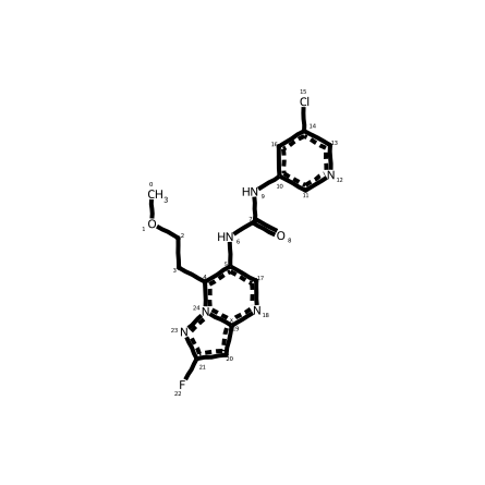 COCCc1c(NC(=O)Nc2cncc(Cl)c2)cnc2cc(F)nn12